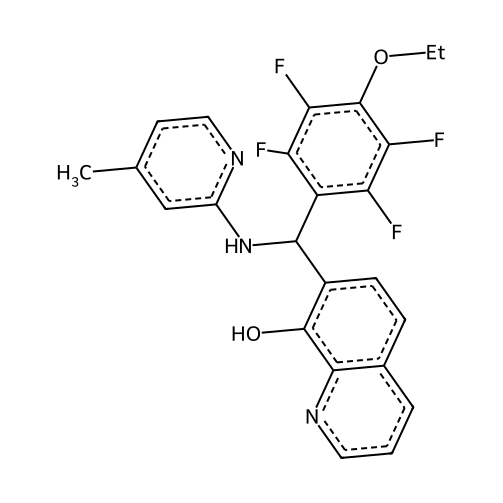 CCOc1c(F)c(F)c(C(Nc2cc(C)ccn2)c2ccc3cccnc3c2O)c(F)c1F